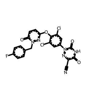 N#Cc1nn(-c2cc(Cl)c(Oc3ccc(=O)n(Cc4ccc(F)cc4)n3)c(Cl)c2)c(=O)[nH]c1=O